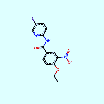 CCOc1ccc(C(=O)Nc2ccc(I)cn2)cc1[N+](=O)[O-]